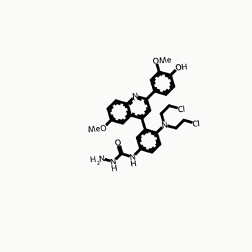 COc1ccc2nc(-c3ccc(O)c(OC)c3)cc(-c3cc(NC(=O)NN)ccc3N(CCCl)CCCl)c2c1